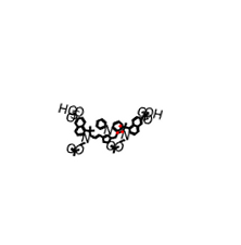 CC(=O)OCCN1c2ccc3cc(S(=O)(=O)O)ccc3c2C(C)(C)C1CCC1CCC(/C=C/C2=[N+](CCOC(C)=O)c3ccc4cc(S(=O)(=O)O)ccc4c3C2(C)C)=C1N(c1ccccc1)c1ccccc1